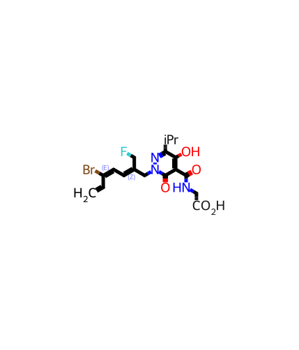 C=C/C(Br)=C\C=C(/CF)Cn1nc(C(C)C)c(O)c(C(=O)NCC(=O)O)c1=O